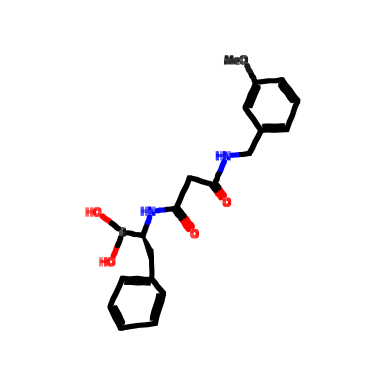 COc1cccc(CNC(=O)CC(=O)N[C@@H](Cc2ccccc2)B(O)O)c1